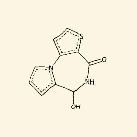 O=C1NC(O)c2cccn2-c2ccsc21